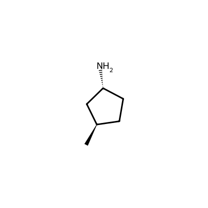 C[C@@H]1CC[C@@H](N)C1